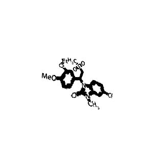 CCOc1cc(C(CS(C)(=O)=O)n2c(=O)n(C)c3cc(Cl)ccc32)ccc1OC